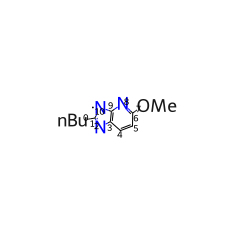 CCCCC1=Nc2ccc(OC)nc2[N]1